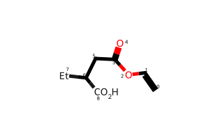 C=COC(=O)CC(CC)C(=O)O